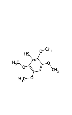 COc1cc(OC)c(OC)c(S)c1OC